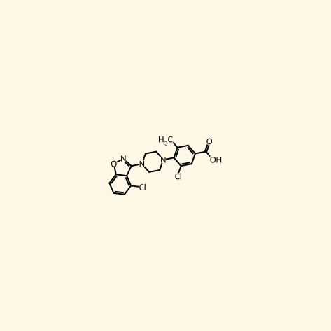 Cc1cc(C(=O)O)cc(Cl)c1N1CCN(c2noc3cccc(Cl)c23)CC1